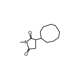 CN1C(=O)CC(C2CCCCCCCC2)C1=O